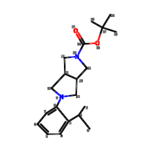 CC(C)c1ccccc1N1CC2CN(C(=O)OC(C)(C)C)CC2C1